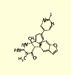 CN1C(=N)N[C@](C)(c2cc(-c3cnc(I)nc3)cs2)C(c2ccc3occc3c2)C1=O